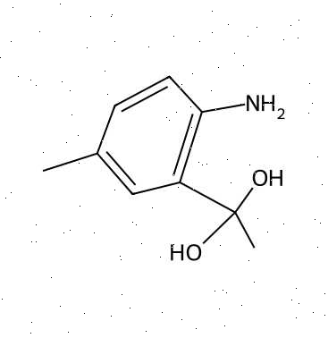 Cc1ccc(N)c(C(C)(O)O)c1